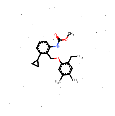 CCc1cc(C)c(C)cc1OCc1c(NC(=O)OC)cccc1C1CC1